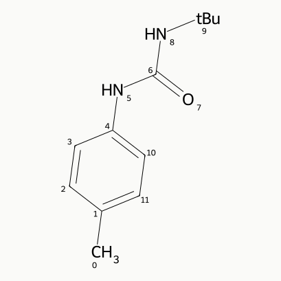 Cc1ccc(NC(=O)NC(C)(C)C)cc1